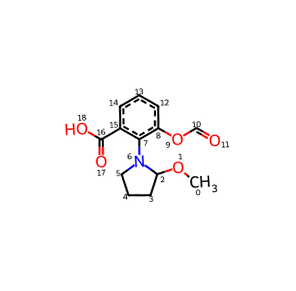 COC1CCCN1c1c(OC=O)cccc1C(=O)O